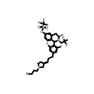 C[C@@H]1Cc2cc(OS(=O)(=O)C(F)(F)F)ccc2C(c2c(F)cc(CC/C=C3\CCN(CCCF)C3)cc2F)N1CC(C)(F)F